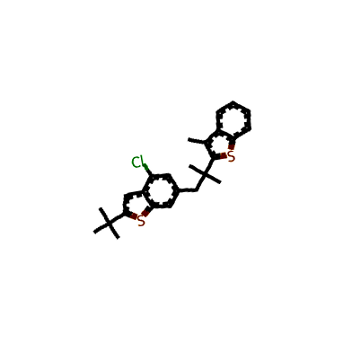 Cc1c(C(C)(C)Cc2cc(Cl)c3cc(C(C)(C)C)sc3c2)sc2ccccc12